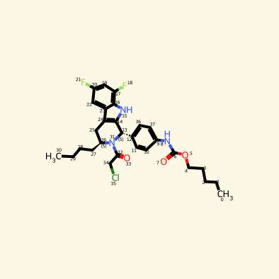 CCCCCOC(=O)Nc1ccc([C@H]2c3[nH]c4c(F)cc(F)cc4c3C[C@H](CCCC)N2C(=O)CCl)cc1